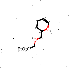 CCOC(=O)COCC1CCC=CO1